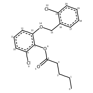 CCCCC(=O)Oc1c(Cl)cccc1OCc1ccccc1Cl